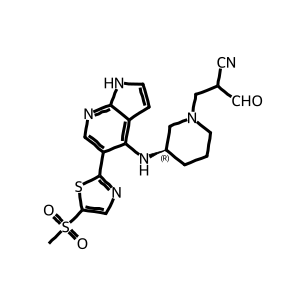 CS(=O)(=O)c1cnc(-c2cnc3[nH]ccc3c2N[C@@H]2CCCN(CC(C#N)C=O)C2)s1